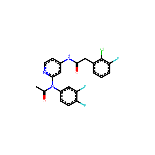 CC(=O)N(c1ccc(F)c(F)c1)c1cc(NC(=O)Cc2cccc(F)c2Cl)ccn1